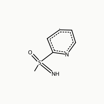 CS(=N)(=O)c1c[c]ccn1